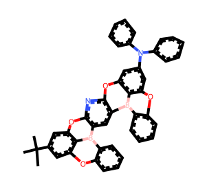 CC(C)(C)c1cc2c3c(c1)Oc1nc4c(cc1B3c1ccccc1O2)B1c2ccccc2Oc2cc(N(c3ccccc3)c3ccccc3)cc(c21)O4